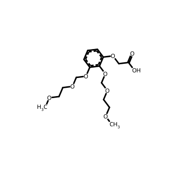 COCCOCOc1cccc(OCC(=O)O)c1OCOCCOC